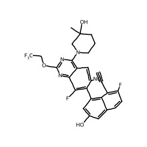 C#Cc1c(F)ccc2cc(O)cc(-c3c([N+](=O)[O-])cc4c(N5CCCC(C)(O)C5)nc(OCC(F)(F)F)nc4c3F)c12